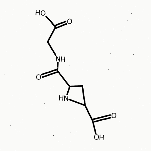 O=C(O)CNC(=O)C1CC(C(=O)O)N1